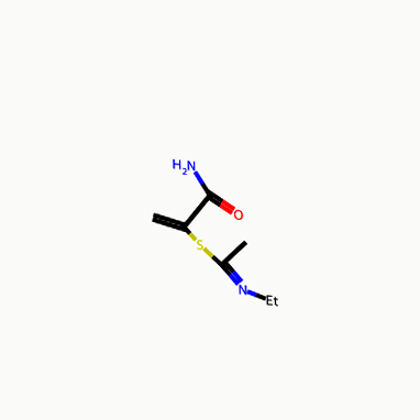 C=C(S/C(C)=N/CC)C(N)=O